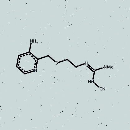 CN/C(=N/CCSCc1ncccc1N)NC#N